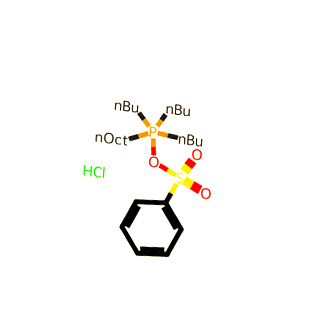 CCCCCCCCP(CCCC)(CCCC)(CCCC)OS(=O)(=O)c1ccccc1.Cl